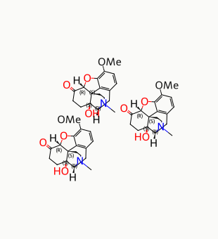 COc1ccc2c3c1O[C@H]1C(=O)CC[C@@]4(O)[C@@H](C2)N(C)CC[C@]314.COc1ccc2c3c1O[C@H]1C(=O)CC[C@@]4(O)[C@@H](C2)N(C)CC[C@]314.COc1ccc2c3c1O[C@H]1C(=O)CC[C@@]4(O)[C@@H](C2)N(C)CC[C@]314